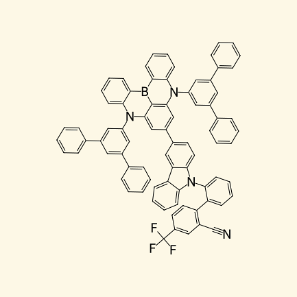 N#Cc1cc(C(F)(F)F)ccc1-c1ccccc1-n1c2ccccc2c2cc(-c3cc4c5c(c3)N(c3cc(-c6ccccc6)cc(-c6ccccc6)c3)c3ccccc3B5c3ccccc3N4c3cc(-c4ccccc4)cc(-c4ccccc4)c3)ccc21